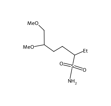 CCC(CCC(COC)OC)S(N)(=O)=O